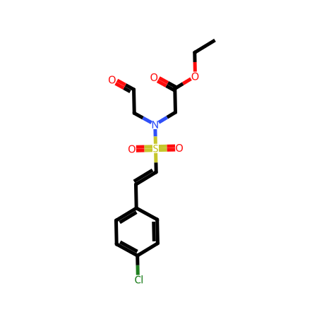 CCOC(=O)CN(CC=O)S(=O)(=O)C=Cc1ccc(Cl)cc1